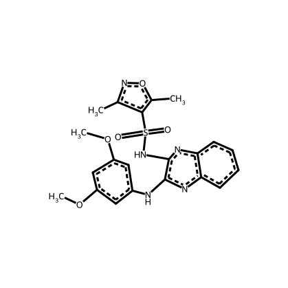 COc1cc(Nc2nc3ccccc3nc2NS(=O)(=O)c2c(C)noc2C)cc(OC)c1